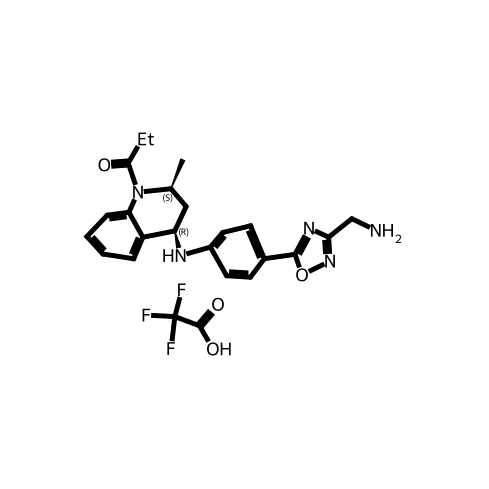 CCC(=O)N1c2ccccc2[C@H](Nc2ccc(-c3nc(CN)no3)cc2)C[C@@H]1C.O=C(O)C(F)(F)F